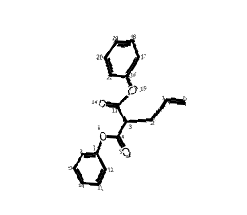 C=CCC(C(=O)Oc1ccccc1)C(=O)Oc1ccccc1